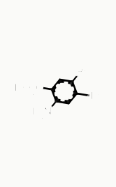 CC(C)c1cc(N)c(C(=O)O)cc1Br